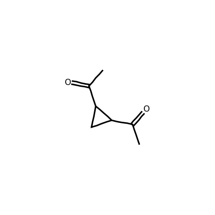 CC(=O)C1CC1C(C)=O